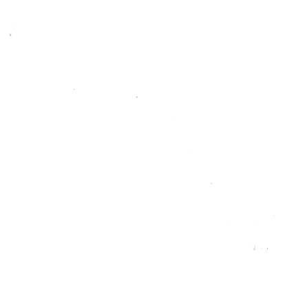 [CH2]CCCC#CCCC(C)CCCC(C)CCCCCCCC(C)CCCCC[CH2]